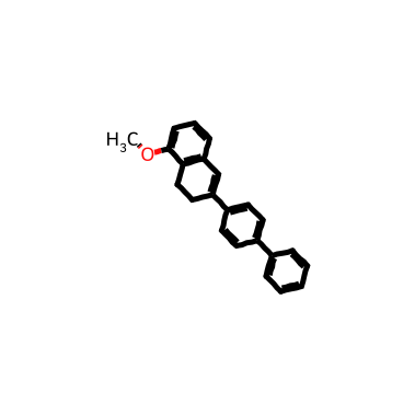 COc1cccc2c1CCC(c1ccc(-c3ccccc3)cc1)=C2